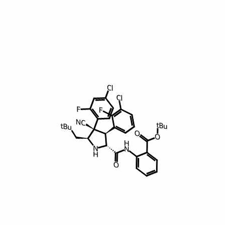 CC(C)(C)C[C@@H]1N[C@@H](C(=O)Nc2ccccc2C(=O)OC(C)(C)C)[C@H](c2cccc(Cl)c2F)[C@@]1(C#N)c1ccc(Cl)cc1F